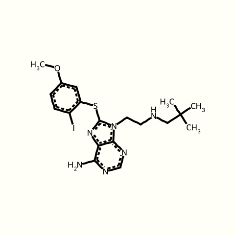 COc1ccc(I)c(Sc2nc3c(N)ncnc3n2CCNCC(C)(C)C)c1